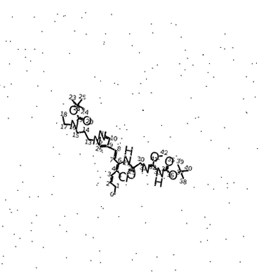 CC\C=C/C(Cl)=C(\C=C\c1cnn(CCCN(CC)C(=O)OC(C)(C)C)c1)NC(=O)C/N=C(/NC(=O)OC(C)(C)C)OC